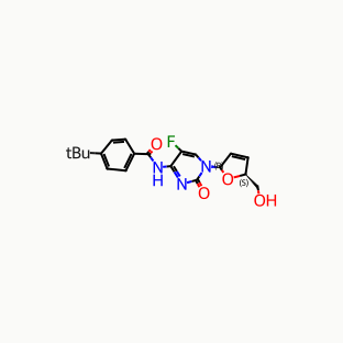 CC(C)(C)c1ccc(C(=O)Nc2nc(=O)n([C@H]3C=C[C@@H](CO)O3)cc2F)cc1